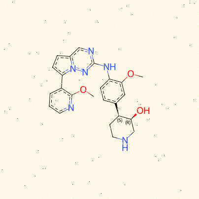 COc1cc([C@@H]2CCNC[C@@H]2O)ccc1Nc1ncc2ccc(-c3cccnc3OC)n2n1